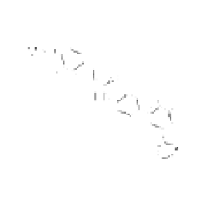 COc1ccc(C=CC(=O)Nc2ccc(-c3cc(-c4ncco4)ccc3C)cc2)cc1